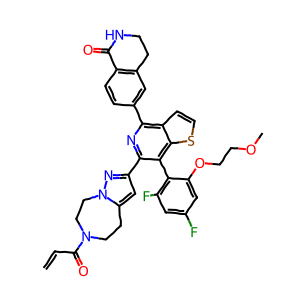 C=CC(=O)N1CCc2cc(-c3nc(-c4ccc5c(c4)CCNC5=O)c4ccsc4c3-c3c(F)cc(F)cc3OCCOC)nn2CC1